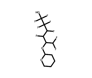 OC(F)(F)C(F)(F)C(F)C(F)C(OC1CCCCO1)C(F)F